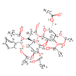 CC(=O)OC[C@H]1O[C@H](OC(C)=O)[C@H](O[C@@H]2O[C@H](COC(C)=O)[C@@H](OCc3ccccc3)[C@H](OC(C)=O)[C@@H]2OC(C)=O)[C@H](OC(C)=O)[C@H]1OC(C)=O